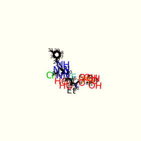 CC/C=C(/COP(=O)(O)CP(=O)(O)O)[C@@H](O)[C@H](F)[C@@H](O)n1cnc2c(NCc3cccc(C)c3)nc(Cl)nc21